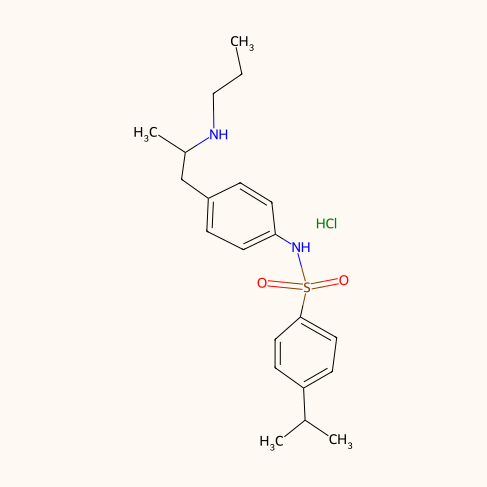 CCCNC(C)Cc1ccc(NS(=O)(=O)c2ccc(C(C)C)cc2)cc1.Cl